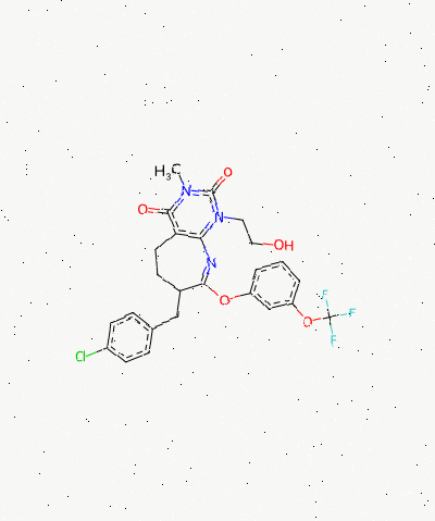 Cn1c(=O)c2c(n(CCO)c1=O)N=C(Oc1cccc(OC(F)(F)F)c1)C(Cc1ccc(Cl)cc1)CC2